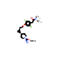 CNOC(=N)N1CCC([C@H]2C[C@H]2CCOc2cc(F)c(CC(=O)N(C)C)cc2F)CC1